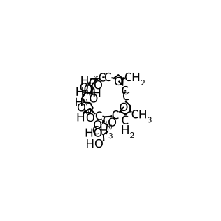 C=C1CC2CC[C@@]34C[C@H]5O[C@H]6C(O3)[C@H]3O[C@H](CCC3O[C@H]6C5O4)CC(=O)CC3C(CC4OC(CCC1O2)CC(C)C4=C)O[C@H](CC(O)CO)[C@@H]3OC